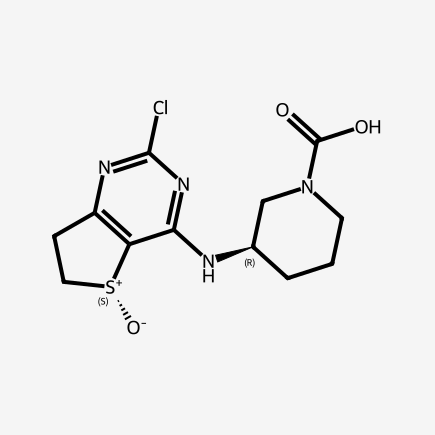 O=C(O)N1CCC[C@@H](Nc2nc(Cl)nc3c2[S@+]([O-])CC3)C1